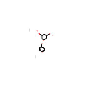 COC(=O)C1CC(OCc2ccc(OC)cc2)CC(C(=O)OC)C1